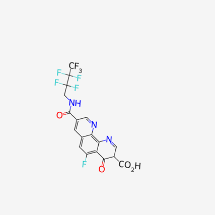 O=C(NCC(F)(F)C(F)(F)C(F)(F)F)c1cnc2c3c(c(F)cc2c1)C(=O)C(C(=O)O)C=N3